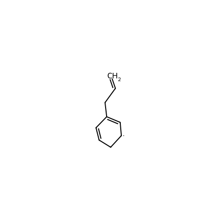 C=CCC1=C[CH]CC=C1